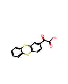 O=C(O)C(=O)c1ccc2c(c1)Sc1ccccc1S2